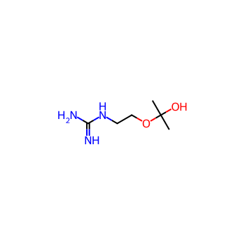 CC(C)(O)OCCNC(=N)N